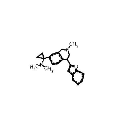 CN1Cc2cc(C3(N(C)C)CC3)ccc2C(c2cc3ccccc3o2)C1